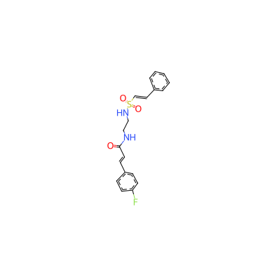 O=C(C=Cc1ccc(F)cc1)NCCNS(=O)(=O)C=Cc1ccccc1